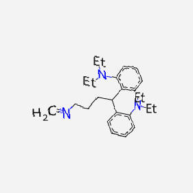 C=NCCCC(c1ccccc1N(CC)CC)c1ccccc1N(CC)CC